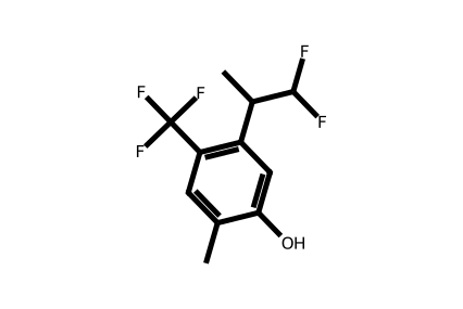 Cc1cc(C(F)(F)F)c(C(C)C(F)F)cc1O